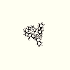 CCOC(=O)C(OC(=O)[C@H]1Cc2ccccc2CN1S(=O)(=O)c1ccc(-c2ccccc2)cc1)c1cc2n(c(=O)c1C#N)CCC21CC(CC)(CC)COO1